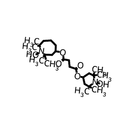 CC1(C)CCCC(OC(=O)CCC(=O)OC2CC(C)(C)N(O)C(C)(C)C2)CC(C)(C)N1O